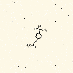 CC(=O)CCc1ccc(C(C)C(=O)O)cc1